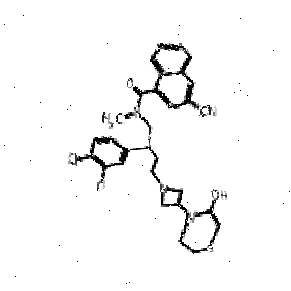 CN(C[C@@H](CCN1CC(N2CCSCC2O)C1)c1ccc(Cl)c(Cl)c1)C(=O)c1cc(C#N)cc2ccccc12